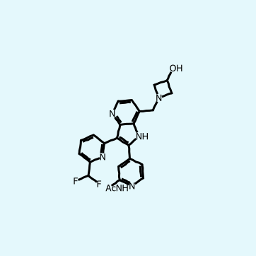 CC(=O)Nc1cc(-c2[nH]c3c(CN4CC(O)C4)ccnc3c2-c2cccc(C(F)F)n2)ccn1